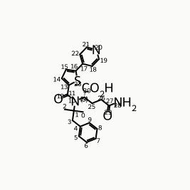 CC(C)(Cc1ccccc1)N(C(=O)c1ccc(-c2ccncc2)s1)[C@@H](CCC(N)=O)C(=O)O